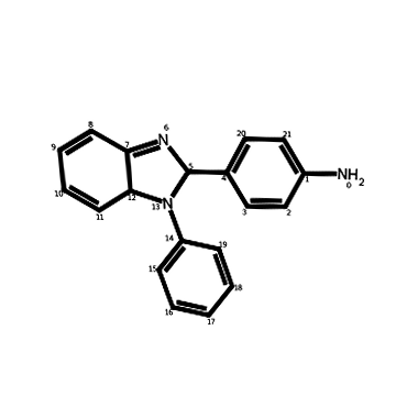 Nc1ccc(C2N=C3C=CC=CC3N2c2ccccc2)cc1